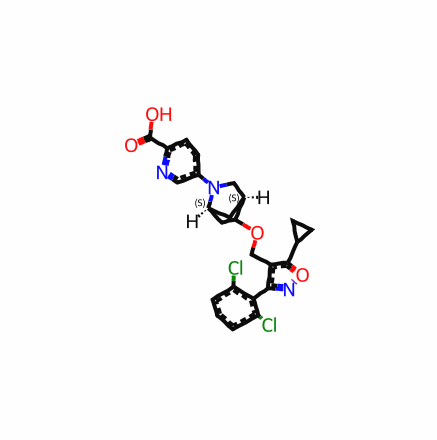 O=C(O)c1ccc(N2C[C@@H]3C[C@H]2CC3OCc2c(-c3c(Cl)cccc3Cl)noc2C2CC2)cn1